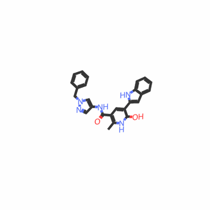 CC1=C(C(=O)Nc2cnn(Cc3ccccc3)c2)C=C(c2cc3ccccc3[nH]2)C(O)N1